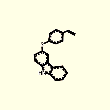 C=Cc1ccc(Sc2ccc3[nH]c4ccccc4c3c2)cc1